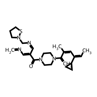 C=N/C=C(\C=N/CN1CCCS1)C(=O)N1CCN(C(=C)/C(C)=C\C(=C/C)C2CC2)CC1